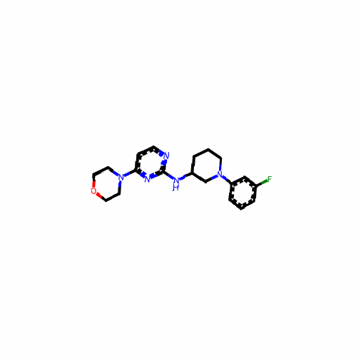 Fc1cccc(N2CCCC(Nc3nccc(N4CCOCC4)n3)C2)c1